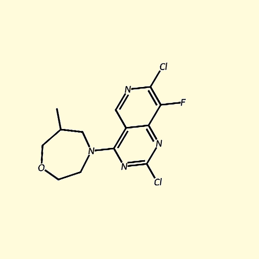 CC1COCCN(c2nc(Cl)nc3c(F)c(Cl)ncc23)C1